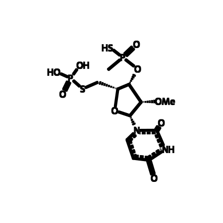 CO[C@H]1[C@@H](OP(C)(=O)S)[C@@H](CSP(=O)(O)O)O[C@H]1n1ccc(=O)[nH]c1=O